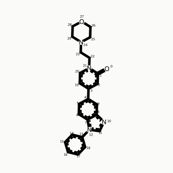 O=c1cc(-c2ccc3c(c2)ncn3-c2ccccc2)ccn1CCN1CCOCC1